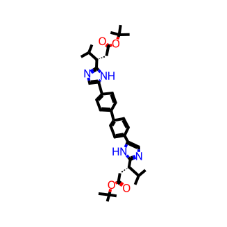 CC(C)[C@H](CC(=O)OC(C)(C)C)c1ncc(-c2ccc(-c3ccc(-c4cnc([C@@H](CC(=O)OC(C)(C)C)C(C)C)[nH]4)cc3)cc2)[nH]1